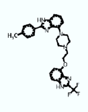 Cc1ccc(-c2nc3c(N4CCN(CCOc5cccc6[nH]c(C(F)(F)F)nc56)CC4)cccc3[nH]2)cc1